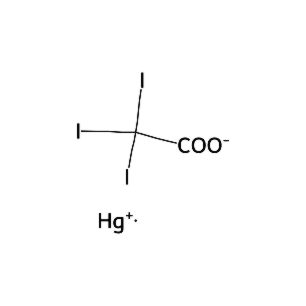 O=C([O-])C(I)(I)I.[Hg+]